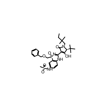 CCC(C)(C)CN1C(=O)C(C2=NP(=O)(COCc3ccccc3)c3cc(NS(C)(=O)=O)ccc3N2)=C(O)[C@@H]1C(C)(C)C